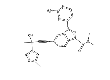 Cc1cc(C(C)(O)C#Cc2ccc3c(C(=O)N(C)C)nn(-c4ccnc(N)n4)c3c2)no1